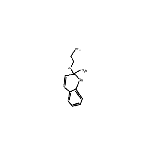 NCCNC1(C(=O)O)C=Nc2ccccc2N1